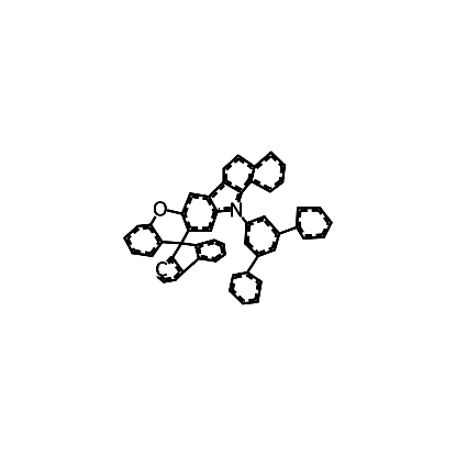 c1ccc(-c2cc(-c3ccccc3)cc(-n3c4cc5c(cc4c4ccc6ccccc6c43)Oc3ccccc3C53c4ccccc4-c4ccccc43)c2)cc1